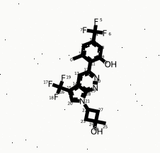 Cc1cc(C(F)(F)F)cc(O)c1-c1cc2c(C(F)(F)F)cn(C3CC(C)(O)C3)c2nn1